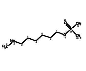 CNCCCCCCOP(C)(=O)O